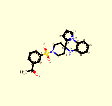 CC(=O)c1cccc(S(=O)(=O)N2CCC3(CC2)Nc2ccccc2-n2cccc23)c1